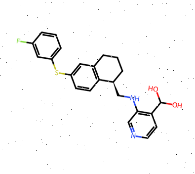 OC(O)c1ccncc1NC[C@@H]1CCCc2cc(Sc3cccc(F)c3)ccc21